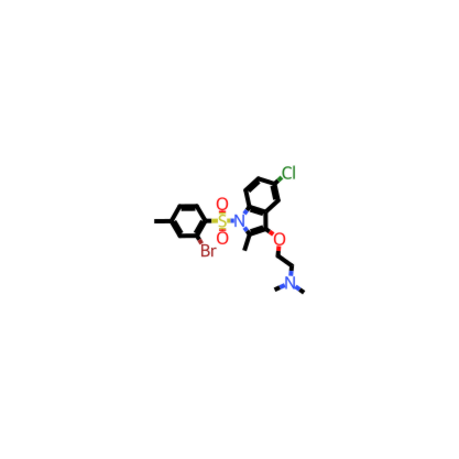 Cc1ccc(S(=O)(=O)n2c(C)c(OCCN(C)C)c3cc(Cl)ccc32)c(Br)c1